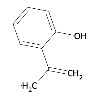 [CH2]C(=C)c1ccccc1O